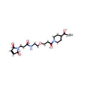 CC(C)(C)C(=O)C1CCN(C(=O)CCOCCNC(=O)CCN2C(=O)C=CC2=O)CC1